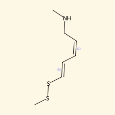 CNC/C=C\C=C\SSC